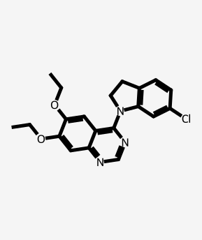 CCOc1cc2ncnc(N3CCc4ccc(Cl)cc43)c2cc1OCC